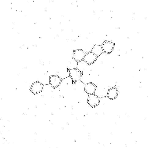 c1ccc(-c2ccc(-c3nc(-c4ccc5c(-c6ccccc6)cccc5c4)nc(-c4cccc5c6c(ccc45)-c4ccccc4C6)n3)cc2)cc1